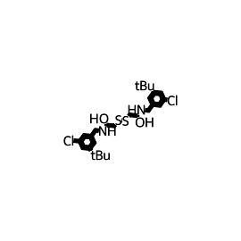 CC(C)(C)c1cc(Cl)cc(CNC(O)CSSCC(O)NCc2cc(Cl)cc(C(C)(C)C)c2)c1